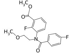 COCCN(C(=O)c1ccc(F)cc1)c1cccc(C(=O)OC)c1F